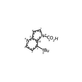 CC(C)(C)c1ccnc2ccn(C(=O)O)c12